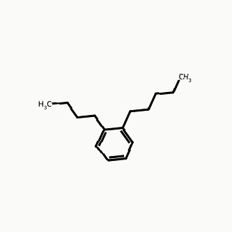 CCCCCc1ccccc1CCCC